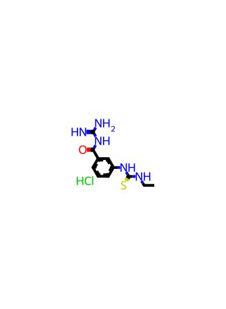 CCNC(=S)Nc1cccc(C(=O)NC(=N)N)c1.Cl